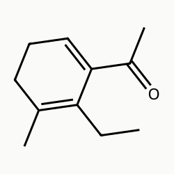 CCC1=C(C)CCC=C1C(C)=O